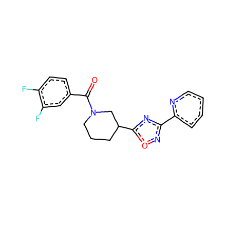 O=C(c1ccc(F)c(F)c1)N1CCCC(c2nc(-c3ccccn3)no2)C1